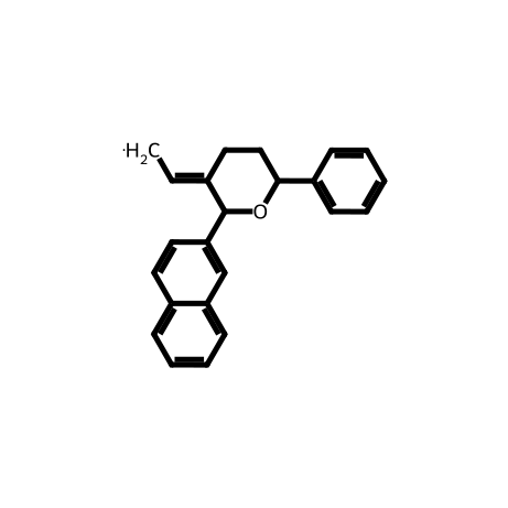 [CH2]C=C1CCC(c2ccccc2)OC1c1ccc2ccccc2c1